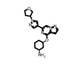 N[C@H]1CCC[C@@H](Oc2nc(-c3cnn(C4CCOC4)c3)cn3nccc23)C1